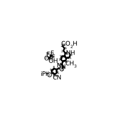 Cc1c(-c2noc(-c3ccc(OC(C)C)c(C#N)c3)n2)ccc2c1CCNC2CCCC(=O)O.O=C(O)C(F)(F)F